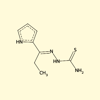 CCC(=NNC(N)=S)c1ccc[nH]1